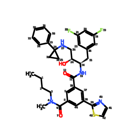 CCCCN(C)C(=O)c1cc(C(=O)N[C@@H](Cc2cc(F)cc(F)c2)[C@H](O)CNC2(c3ccccc3)CC2)cc(-c2nccs2)c1